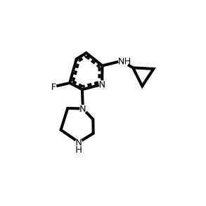 Fc1ccc(NC2CC2)nc1N1CCNCC1